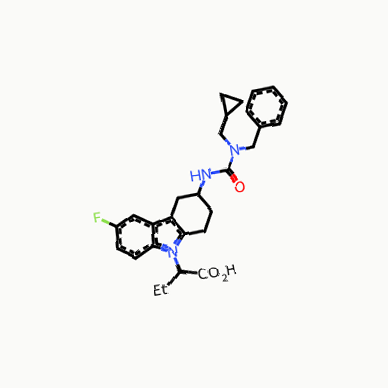 CCC(C(=O)O)n1c2c(c3cc(F)ccc31)CC(NC(=O)N(Cc1ccccc1)CC1CC1)CC2